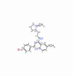 Cc1ccc2nc(-c3ccc(Br)cc3)nc(NCCC3CCCN3C)c2c1